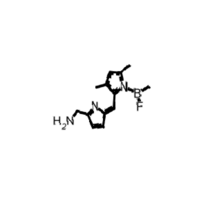 CB(F)n1c(C)cc(C)c1/C=C1/C=CC(CN)=N1